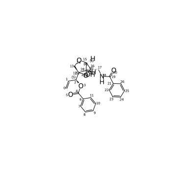 C=C[C@H](OC(=O)c1ccccc1)[C@@]12CO[C@@H]([C@H](CNC(=O)c3ccccc3)O1)[C@@H]2O